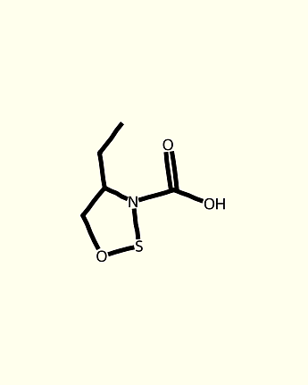 CCC1COSN1C(=O)O